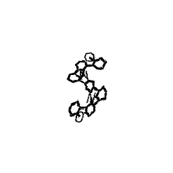 c1ccc2c(c1)oc1ccc3c4cccc5c6cc7c(cc6n(c54)c3c12)c1cccc2c3ccc4oc5ccccc5c4c3n7c12